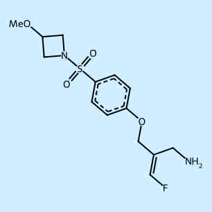 COC1CN(S(=O)(=O)c2ccc(OC/C(=C/F)CN)cc2)C1